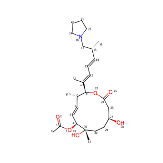 CC(=O)O[C@H]1/C=C/[C@H](C)[C@@H](/C(C)=C/C=C/[C@@H](C)CN2CCCC2)OC(=O)C[C@@H](O)CC[C@]1(C)O